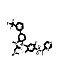 CN(C)CC(=O)N(C)C1C[C@@H](c2cccc(C(F)(F)F)c2)CC[C@@H]1Nc1cc(F)c(S(=O)(=O)Nc2ccncn2)cc1Cl